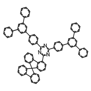 c1ccc(-c2cc(-c3ccccc3)cc(-c3ccc(-c4nc(-c5ccc(-c6cc(-c7ccccc7)cc(-c7ccccc7)c6)cc5)nc(-c5cccc6c5-c5ccccc5C65c6ccccc6-c6ccccc65)n4)cc3)c2)cc1